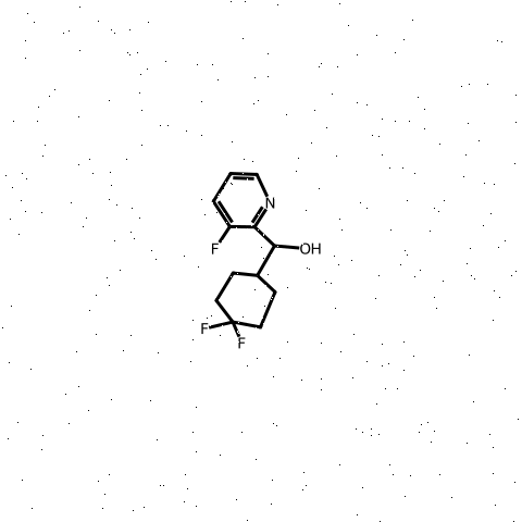 OC(c1ncccc1F)C1CCC(F)(F)CC1